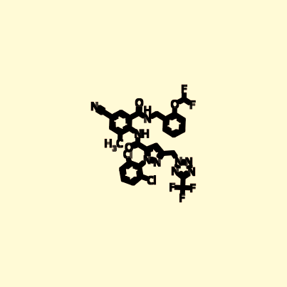 Cc1cc(C#N)cc(C(=O)NCc2ccccc2OC(F)F)c1NC(=O)c1cc(Cn2nnc(C(F)(F)F)n2)nn1-c1c(Cl)cccc1Cl